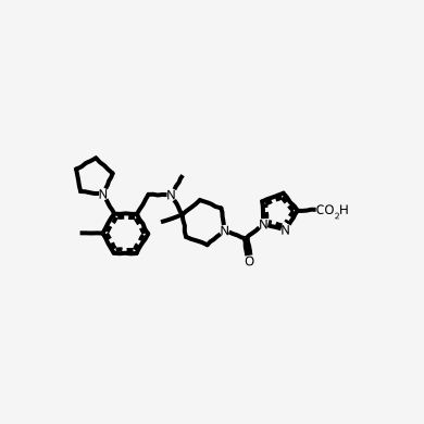 Cc1cccc(CN(C)C2(C)CCN(C(=O)n3ccc(C(=O)O)n3)CC2)c1N1CCCC1